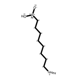 CCCCCCCCCCCCCC[NH+]([O-])O